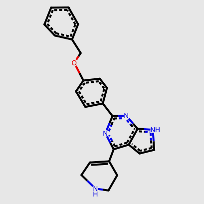 C1=C(c2nc(-c3ccc(OCc4ccccc4)cc3)nc3[nH]ccc23)CCNC1